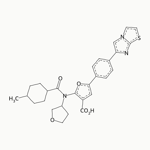 CC1CCC(C(=O)N(c2oc(-c3ccc(-c4cn5ccsc5n4)cc3)cc2C(=O)O)C2CCOC2)CC1